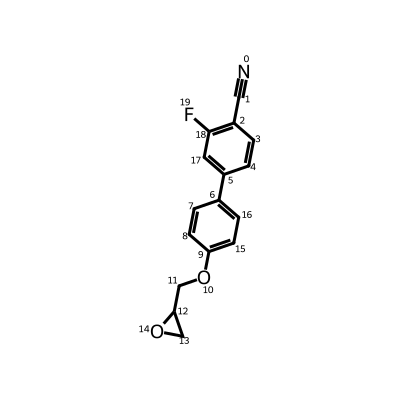 N#Cc1ccc(-c2ccc(OCC3CO3)cc2)cc1F